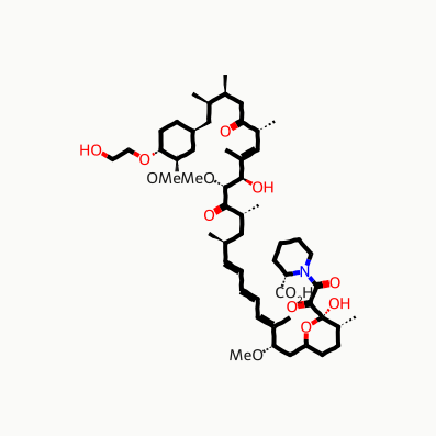 CO[C@@H](CC1CC[C@@H](C)[C@](O)(C(=O)C(=O)N2CCCC[C@H]2C(=O)O)O1)/C(C)=C/C=C/C=C/[C@@H](C)C[C@@H](C)C(=O)[C@H](OC)[C@H](O)/C(C)=C/[C@@H](C)C(=O)C[C@H](C)[C@H](C)C[C@@H]1CC[C@@H](OCCO)[C@H](OC)C1